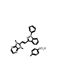 CN1c2nccnc2N(C)C1/C=C/c1nn(-c2ccccc2)c2ccccc12.Cc1ccc(S(=O)(=O)O)cc1